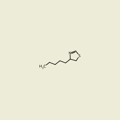 CCCCC[C]1CSC=N1